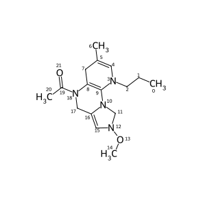 CCCN1C=C(C)CC2=C1N1CN(OC)C=C1CN2C(C)=O